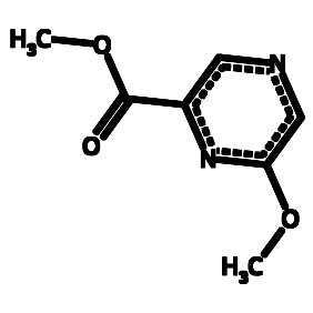 COC(=O)c1cncc(OC)n1